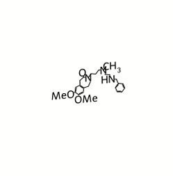 COc1cc2c(cc1OC)CC(=O)N(CCCN(C)CCNCc1ccccc1)CC2